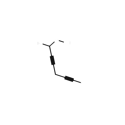 CC#CCC#CC(O)OC